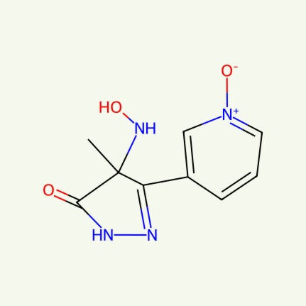 CC1(NO)C(=O)NN=C1c1ccc[n+]([O-])c1